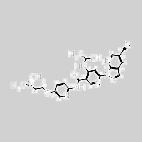 CC(C)Nc1cc(-n2ncc3cc(C#N)cnc32)ncc1C(=O)Nc1ccc(OCCN(C)C)cn1